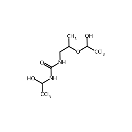 CC(CNC(=O)NC(O)C(Cl)(Cl)Cl)OC(O)C(Cl)(Cl)Cl